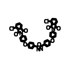 O=C1c2cccc(Cl)c2C(=O)N1c1ccc(Oc2ccc(-c3nnc(-c4ccc(Oc5ccc(N6C(=O)c7cccc(Cl)c7C6=O)cc5)cc4)o3)cc2)cc1